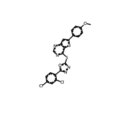 COc1ccc(-c2cc3ncnc(Sc4nnc(-c5ccc(Cl)cc5Cl)o4)c3s2)cc1